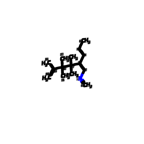 C=NCC(CCC)C(C)(C)C(C)(C)C(=C)C